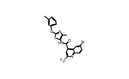 Cc1cccc(Oc2nc(C)c(NC(=O)c3cc(C(F)(F)F)nc4ccc(Br)cc34)s2)c1